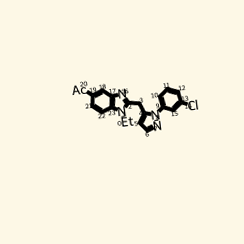 CCn1c(Cc2ccnn2-c2cccc(Cl)c2)nc2cc(C(C)=O)ccc21